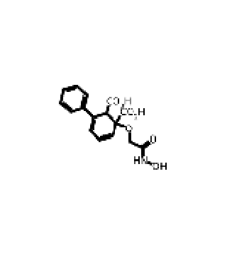 O=C(COC1(C(=O)O)C=CC=C(c2ccccc2)C1C(=O)O)NO